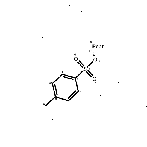 CCC[C@@H](C)OS(=O)(=O)c1ccc(C)cc1